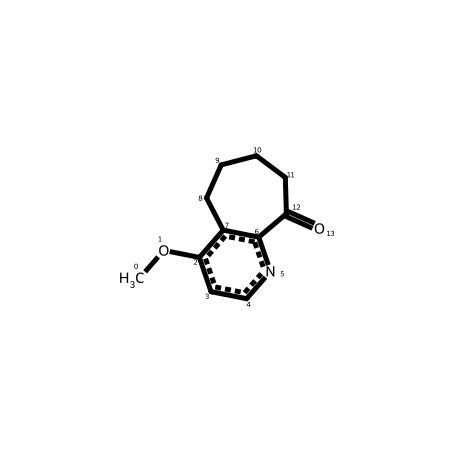 COc1ccnc2c1CCCCC2=O